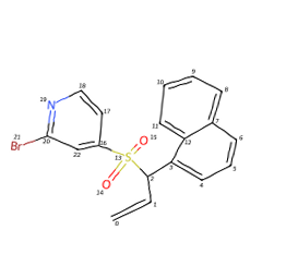 C=CC(c1cccc2ccccc12)S(=O)(=O)c1ccnc(Br)c1